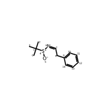 CC(C)(C)[S@+]([O-])/N=C\Cc1ccccc1